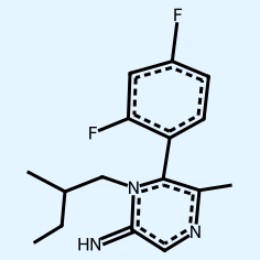 CCC(C)Cn1c(-c2ccc(F)cc2F)c(C)ncc1=N